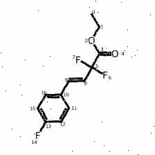 CCOC(=O)C(F)(F)C=Cc1ccc(F)cc1